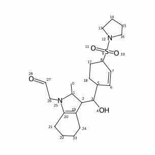 CC1C(C(O)C2C=CC(S(=O)(=O)N3CCCC3)CC2)C2=C(CCCC2)N1CC=O